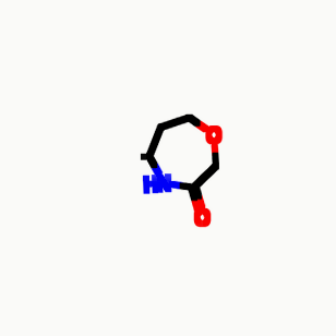 O=C1COCC[CH]N1